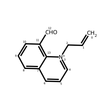 C=CC[n+]1cccc2cccc(C=O)c21